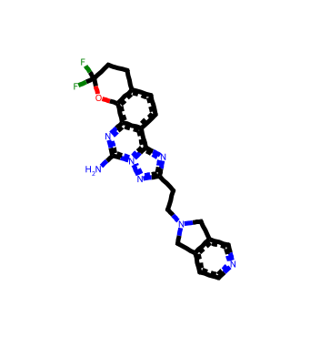 Nc1nc2c3c(ccc2c2nc(CCN4Cc5ccncc5C4)nn12)CCC(F)(F)O3